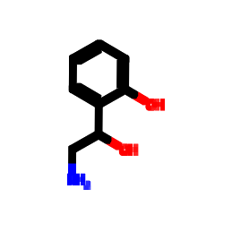 NCC(O)c1ccccc1O